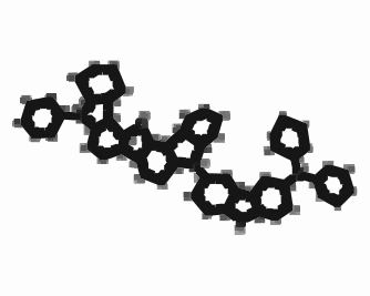 c1ccc(N(c2ccccc2)c2ccc3sc4ccc(-n5c6ccccc6c6c7oc8c(ccc9c8c8ccccc8n9-c8ccccc8)c7ccc65)cc4c3c2)cc1